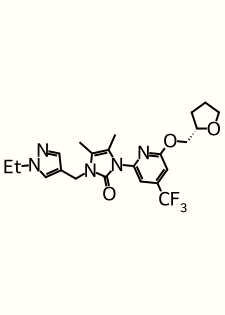 CCn1cc(Cn2c(C)c(C)n(-c3cc(C(F)(F)F)cc(OC[C@@H]4CCCO4)n3)c2=O)cn1